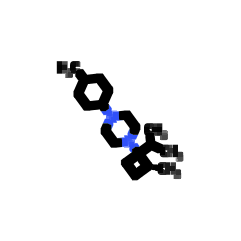 CC1CCC(N2CCN(C3(C(C)C)CC[C@H]3C)CC2)CC1